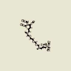 CCO[Si](CCCN(C)COCOCCOCN(C)CCCC(=C=O)[SiH](C=C=O)C=C=O)(OCC)OCC